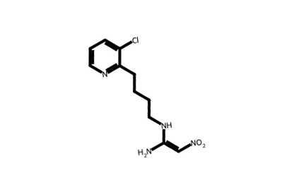 N/C(=C/[N+](=O)[O-])NCCCCc1ncccc1Cl